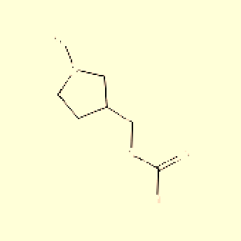 CC(=O)N1CCC(CNC(=O)C(C)C)C1